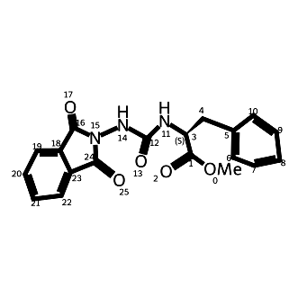 COC(=O)[C@H](Cc1ccccc1)NC(=O)NN1C(=O)c2ccccc2C1=O